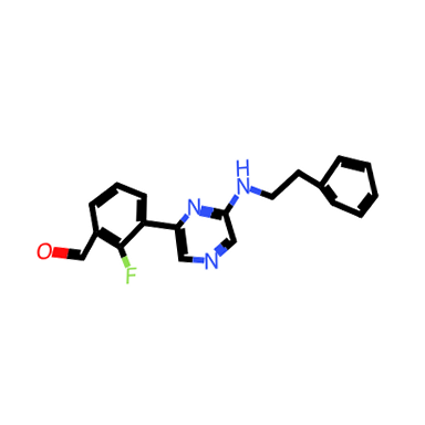 O=Cc1cccc(-c2cncc(NCCc3ccccc3)n2)c1F